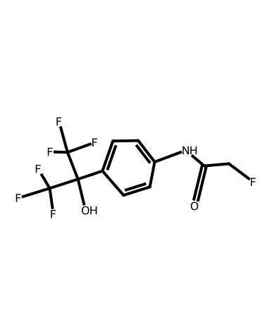 O=C(CF)Nc1ccc(C(O)(C(F)(F)F)C(F)(F)F)cc1